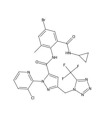 Cc1cc(Br)cc(C(=O)NC2CC2)c1NC(=O)c1cc(Cn2nnnc2C(F)(F)F)nn1-c1ncccc1Cl